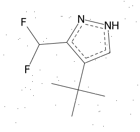 CC(C)(C)c1c[nH]nc1C(F)F